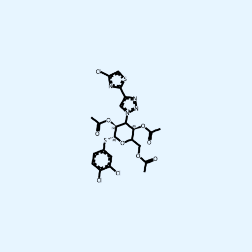 CC(=O)OCC1O[C@H](Sc2ccc(Cl)c(Cl)c2)[C@@H](OC(C)=O)C(n2cc(-c3nc(Cl)cs3)nn2)[C@H]1OC(C)=O